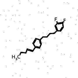 CCC/C=C/c1ccc(CCCCc2ccc(F)c(F)c2)cc1